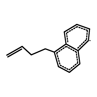 C=CCCc1cccc2[c]cccc12